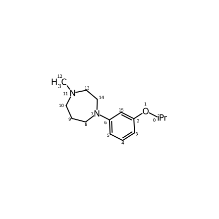 CC(C)Oc1cccc(N2CCCN(C)CC2)c1